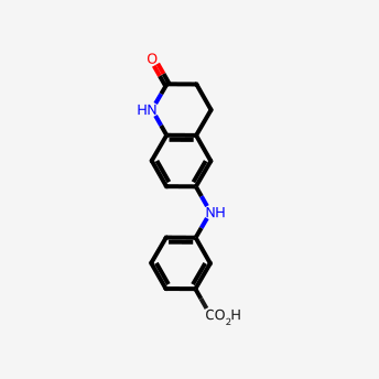 O=C1CCc2cc(Nc3cccc(C(=O)O)c3)ccc2N1